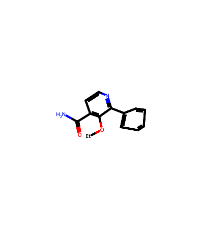 CCOc1c(C(N)=O)ccnc1-c1ccccc1